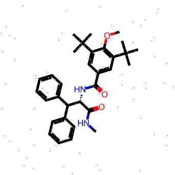 CNC(=O)[C@@H](NC(=O)c1cc(C(C)(C)C)c(OC)c(C(C)(C)C)c1)C(c1ccccc1)c1ccccc1